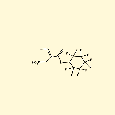 CC=C(CC(=O)O)C(=O)OC1C(F)(F)C(F)(F)C(F)(F)C(F)(F)C1(F)F